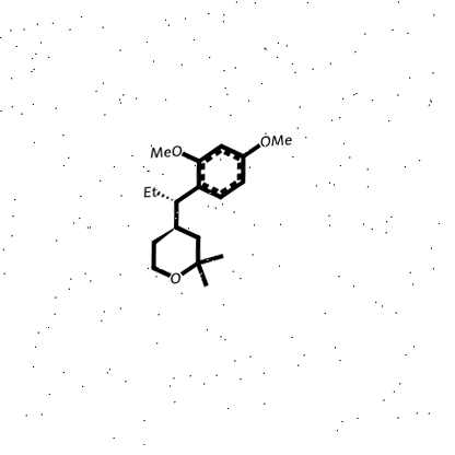 [CH2]C[C@H](c1ccc(OC)cc1OC)[C@@H]1CCOC(C)(C)C1